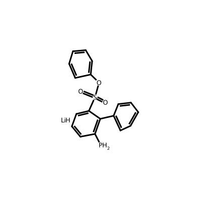 O=S(=O)(Oc1ccccc1)c1cccc(P)c1-c1ccccc1.[LiH]